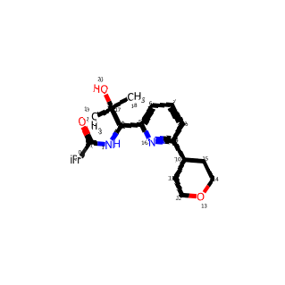 CC(C)C(=O)NC(c1cccc(C2CCOCC2)n1)C(C)(C)O